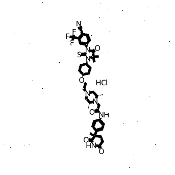 C[C@@H]1CN(CCO[C@H]2CC[C@H](N3C(=S)N(c4ccc(C#N)c(C(F)(F)F)c4)C(=O)C3(C)C)CC2)C[C@H](C)N1CC(=O)Nc1ccc(C2(C)CCC(=O)NC2=O)cc1.Cl